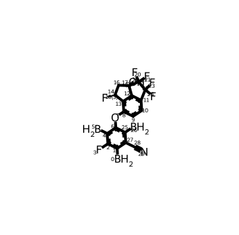 Bc1c(F)c(B)c(Oc2ccc3c4c2[C@@H](F)C[C@]4(O)C(F)(F)C3(F)F)c(B)c1C#N